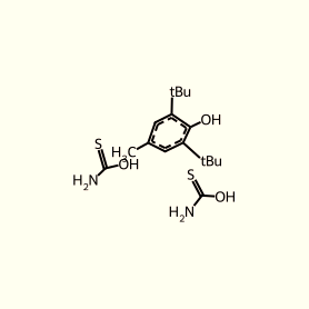 Cc1cc(C(C)(C)C)c(O)c(C(C)(C)C)c1.NC(O)=S.NC(O)=S